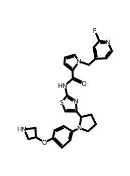 O=C(Nc1nc(C2CCCN2c2ccc(OC3CNC3)cc2)cs1)c1cccn1Cc1ccnc(F)c1